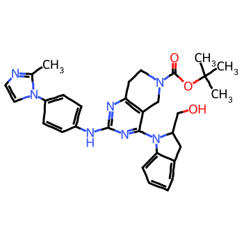 Cc1nccn1-c1ccc(Nc2nc3c(c(N4c5ccccc5CC4CO)n2)CN(C(=O)OC(C)(C)C)CC3)cc1